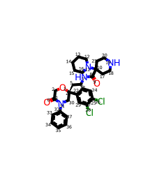 O=C1CO[C@](CCNC(=O)C2(N3CCCCC3)CCNCC2)(c2ccc(Cl)c(Cl)c2)CN1c1ccccc1